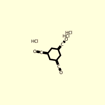 Cl.Cl.Cl.O=C=C1CC(=C=O)CC(=C=O)C1